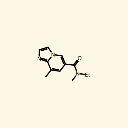 CCN(C)C(=O)c1cc(C)c2nccn2c1